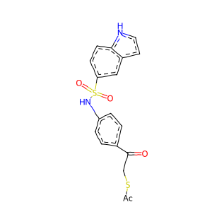 CC(=O)SCC(=O)c1ccc(NS(=O)(=O)c2ccc3[nH]ccc3c2)cc1